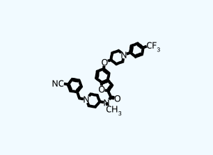 CN(C(=O)c1cc2cc(OC3CCN(c4ccc(C(F)(F)F)cc4)CC3)ccc2o1)C1CCN(Cc2cccc(C#N)c2)CC1